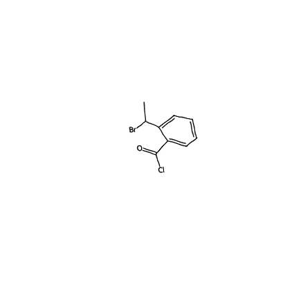 CC(Br)c1ccccc1C(=O)Cl